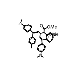 COC(=O)C(C(=O)OC)C(C=C(c1ccc(C)cc1)c1ccc(N(C)C)cc1)C=C(c1ccc(C)cc1)c1ccc(N(C)C)cc1